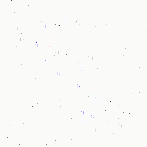 Cc1ncsc1-c1ccc([C@H](C)NC(=O)[C@@H]2CCCN2C(=O)[C@@H](NC(=O)CN2CCN(C3CCN(C(=O)C[C@@H]4N=C(c5ccc(Cl)cc5)c5c(sc(C)c5C)-n5c(C)nnc54)CC3)C[C@@H]2C)C(C)(C)C)cc1